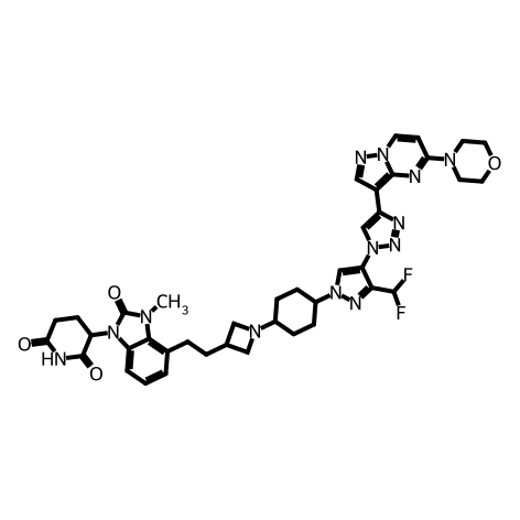 Cn1c(=O)n(C2CCC(=O)NC2=O)c2cccc(CCC3CN(C4CCC(n5cc(-n6cc(-c7cnn8ccc(N9CCOCC9)nc78)nn6)c(C(F)F)n5)CC4)C3)c21